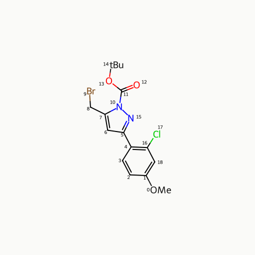 COc1ccc(-c2cc(CBr)n(C(=O)OC(C)(C)C)n2)c(Cl)c1